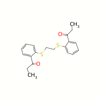 CCC(=O)c1ccccc1SCCSc1ccccc1C(=O)CC